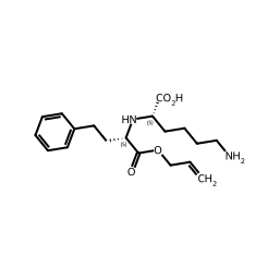 C=CCOC(=O)[C@H](CCc1ccccc1)N[C@@H](CCCCN)C(=O)O